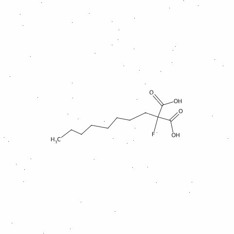 CCCCCCCCC(F)(C(=O)O)C(=O)O